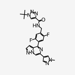 Cn1cc(-c2cn3nccc3c(-c3cc(F)c(CNC(=O)c4cn(C(C)(C)C)nn4)cc3F)n2)cn1